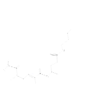 CCOC(=O)CCCNC(=O)CCC(NC(=O)/C(C)=C/CN(C)C(=O)C(N)C(C)(C)C)C(=O)OCC